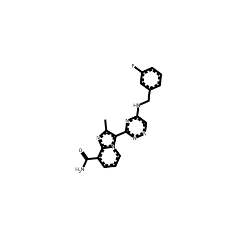 Cc1nc2c(C(N)=O)cccn2c1-c1nncc(NCc2cccc(F)c2)n1